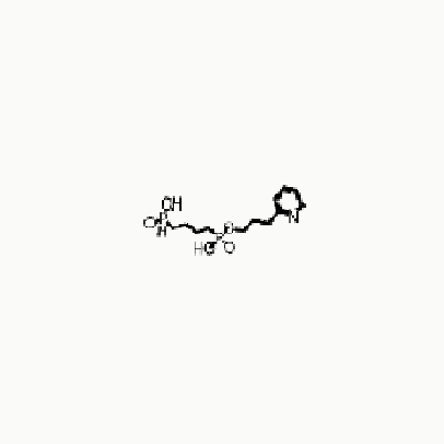 O=[PH](O)CCCCP(=O)(O)OCCCc1ccccn1